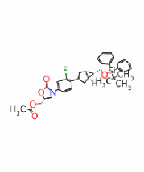 CC(=O)OC[C@H]1CN(c2ccc(C3=CC4[C@H](CO[Si](c5ccccc5)(c5ccccc5)C(C)(C)C)[C@H]4C3)c(F)c2)C(=O)O1